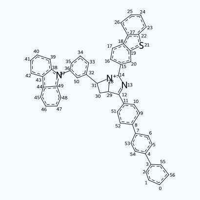 c1ccc(-c2ccc(-c3ccc(C4=NC(c5ccc6c(c5)sc5ccccc56)=[N+]5C4CC5c4cccc(-n5c6ccccc6c6ccccc65)c4)cc3)cc2)cc1